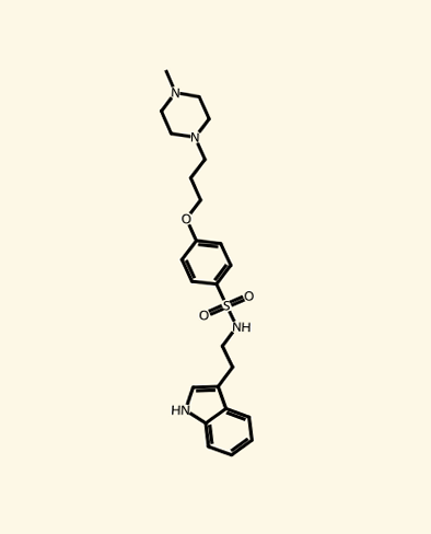 CN1CCN(CCCOc2ccc(S(=O)(=O)NCCc3c[nH]c4ccccc34)cc2)CC1